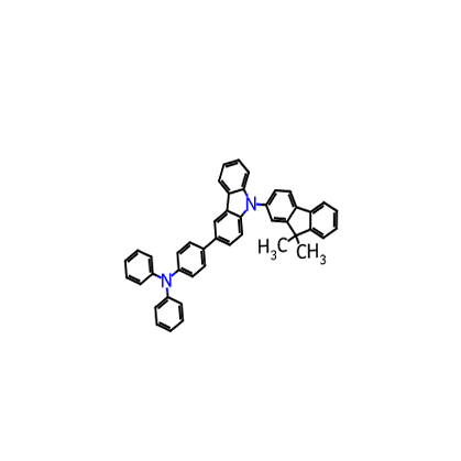 CC1(C)c2ccccc2-c2ccc(-n3c4ccccc4c4cc(-c5ccc(N(c6ccccc6)c6ccccc6)cc5)ccc43)cc21